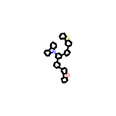 c1cc(-c2cc(-c3cccc(-c4ccc5sc6ccccc6c5c4)c3)cc(-n3c4ccccc4c4ccccc43)c2)cc(-c2ccc3oc4ccccc4c3c2)c1